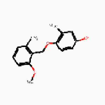 Cc1cc(O)ccc1OCc1c(C)cccc1OC#N